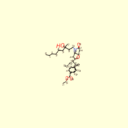 CCCCCCC(C)(O)CCN1C(=O)CC2OC(C(CCC)[Se]c3ccc(C(=O)OCC)cc3)CC21